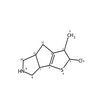 CC1C2=C(SC1Cl)C1CNCC1C2